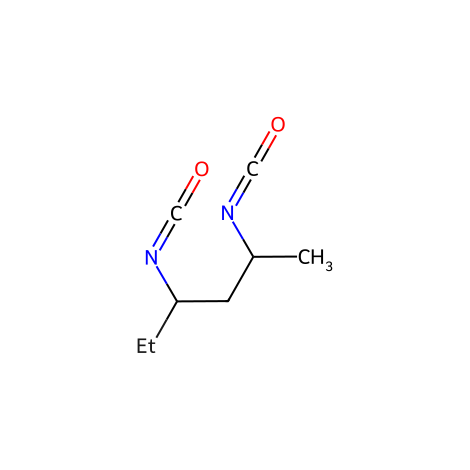 CCC(CC(C)N=C=O)N=C=O